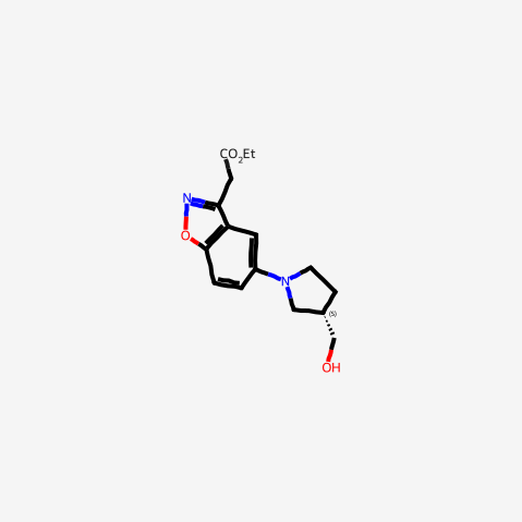 CCOC(=O)Cc1noc2ccc(N3CC[C@H](CO)C3)cc12